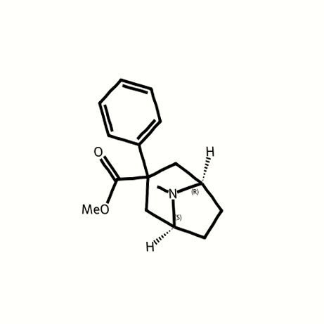 COC(=O)C1(c2ccccc2)C[C@H]2CC[C@@H](C1)N2C